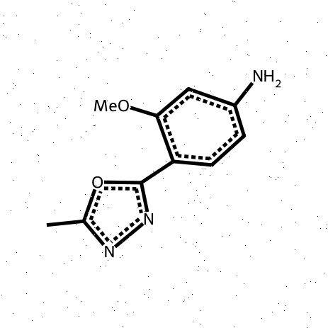 COc1cc(N)ccc1-c1nnc(C)o1